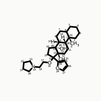 C[C@]12CCCCC1CC[C@@H]1[C@H]2CC[C@]2(C)C(OCCN3CCCC3)(c3ccco3)CC[C@@]12O